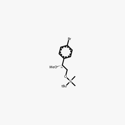 CO[C@@H](CO[Si](C)(C)C(C)(C)C)c1ccc(Br)cc1